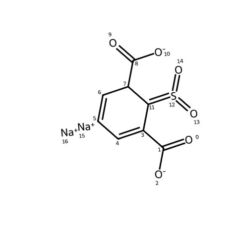 O=C([O-])C1=CC=CC(C(=O)[O-])C1=S(=O)=O.[Na+].[Na+]